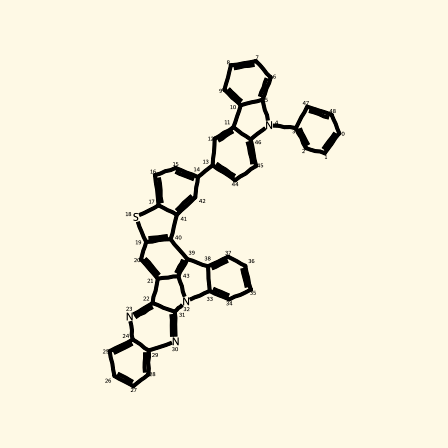 c1ccc(-n2c3ccccc3c3cc(-c4ccc5sc6cc7c8nc9ccccc9nc8n8c9ccccc9c(c6c5c4)c78)ccc32)cc1